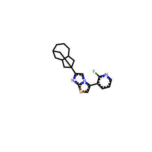 Fc1ncccc1-c1csc2nc(C34CC5CCCC(C3)C(C5)C4)cn12